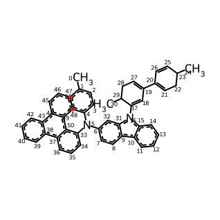 Cc1ccc(N(c2ccc3c4ccccc4n(C4=CC(C5=CCC(C)C=C5)=CCC4C)c3c2)c2cccc3c4ccccc4c4ccccc4c23)cc1